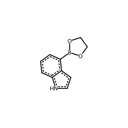 c1cc(B2OCCO2)c2cc[nH]c2c1